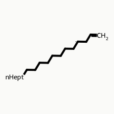 C=CC[CH]CCCCCCCCCCCCCCC